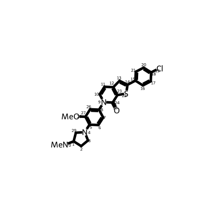 CNC1CCN(c2ccc(-n3ccc4cc(-c5ccc(Cl)cc5)sc4c3=O)cc2OC)C1